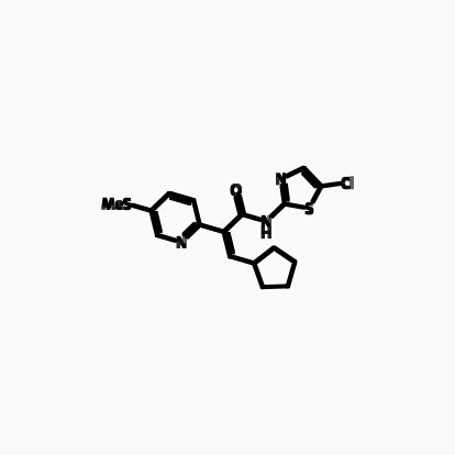 CSc1ccc(C(=CC2CCCC2)C(=O)Nc2ncc(Cl)s2)nc1